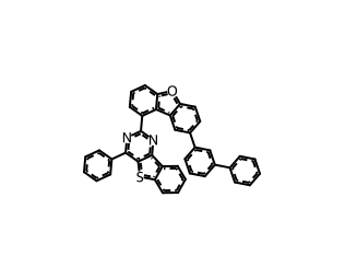 c1ccc(-c2cccc(-c3ccc4oc5cccc(-c6nc(-c7ccccc7)c7sc8ccccc8c7n6)c5c4c3)c2)cc1